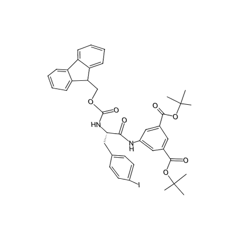 CC(C)(C)OC(=O)c1cc(NC(=O)[C@H](Cc2ccc(I)cc2)NC(=O)OCC2c3ccccc3-c3ccccc32)cc(C(=O)OC(C)(C)C)c1